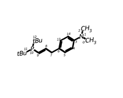 CN(C)c1ccc(CC=CP(C(C)(C)C)C(C)(C)C)cc1